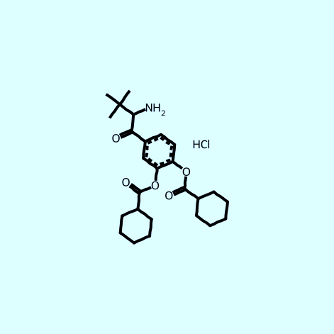 CC(C)(C)C(N)C(=O)c1ccc(OC(=O)C2CCCCC2)c(OC(=O)C2CCCCC2)c1.Cl